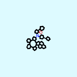 c1ccc(-c2ccc(N(c3ccc4c5ccccc5c5ccccc5c5ccccc5c5c(cc6ccc7cccc8ccc5c6c78)c4c3)c3cccc4c3oc3ccccc34)cc2)cc1